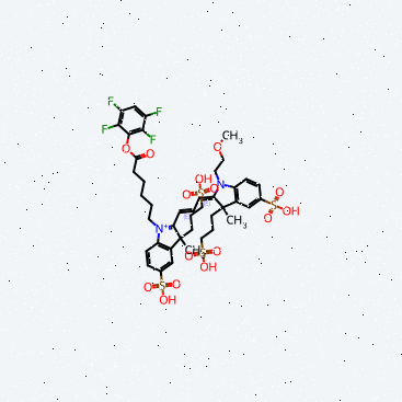 COCCN1/C(=C/C=C/C2=[N+](CCCCCC(=O)Oc3c(F)c(F)cc(F)c3F)c3ccc(S(=O)(=O)O)cc3C2(C)CCCS(=O)(=O)O)C(C)(CCCS(=O)(=O)O)c2cc(S(=O)(=O)O)ccc21